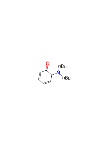 CCCCN(CCCC)C1C=CC=CC1=O